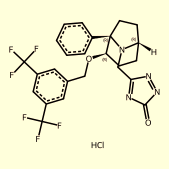 Cl.O=C1N=NC(CN2[C@H]3CC[C@@H](OCc4cc(C(F)(F)F)cc(C(F)(F)F)c4)[C@]2(c2ccccc2)CC3)=N1